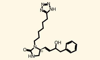 O=C1NC[C@H](C=CC(O)Cc2ccccc2)N1CCCCCCc1nnn[nH]1